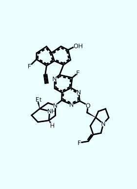 C#Cc1c(F)ccc2cc(O)cc(-c3ncc4c(N5C[C@@H]6CC[C@](CC)(C5)N6)nc(OC[C@@]56CCCN5C/C(=C/F)C6)nc4c3F)c12